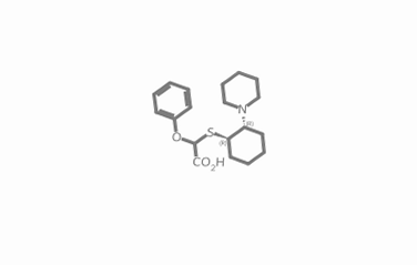 O=C(O)C(Oc1ccccc1)S[C@@H]1CCCC[C@H]1N1CCCCC1